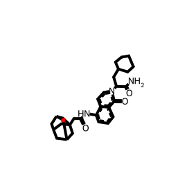 NC(=O)C(CC1CCCCC1)n1ccc2c(NC(=O)CC34CC5CC(CC(C5)C3)C4)cccc2c1=O